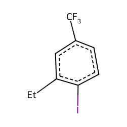 CCc1cc(C(F)(F)F)ccc1I